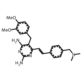 COc1ccc(Cc2c(N)nc(N)nc2C=Cc2ccc(CN(C)C)cc2)cc1OC